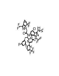 CSNc1nn(CC(F)F)c2c(-n3c(C(Cc4cc(F)cc(F)c4)NC(=O)Cn4nc(C(F)F)c5c4C(F)(F)C4CC54)nc(-c4cccc(C(F)(F)F)n4)cc3=O)ccc(Cl)c12